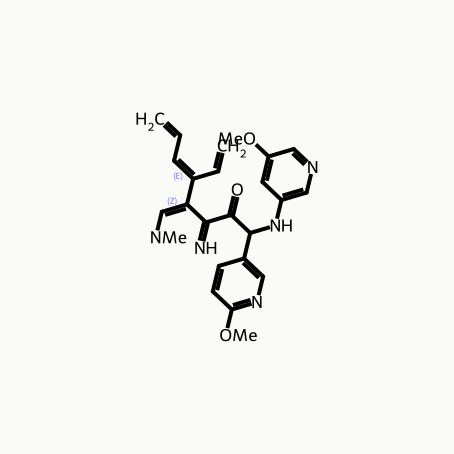 C=C/C=C(C=C)/C(=C/NC)C(=N)C(=O)C(Nc1cncc(OC)c1)c1ccc(OC)nc1